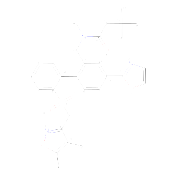 Cc1onc(CS(=O)(=O)c2ccccc2-c2ccc(-c3ncco3)cc2CN(C)C(=O)CC(C)(C)C)c1C